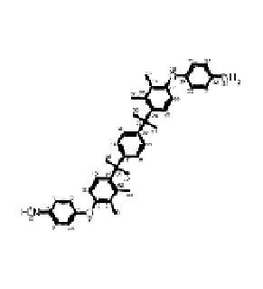 Cc1c(Oc2ccc(N)cc2)ccc(C(C)(C)c2ccc(C(C)(C)c3ccc(Oc4ccc(N)cc4)c(C)c3C)cc2)c1C